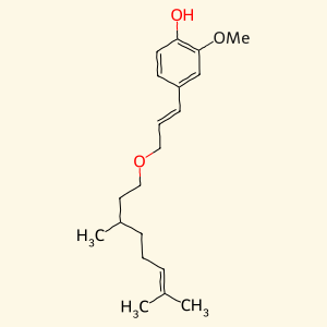 COc1cc(C=CCOCCC(C)CCC=C(C)C)ccc1O